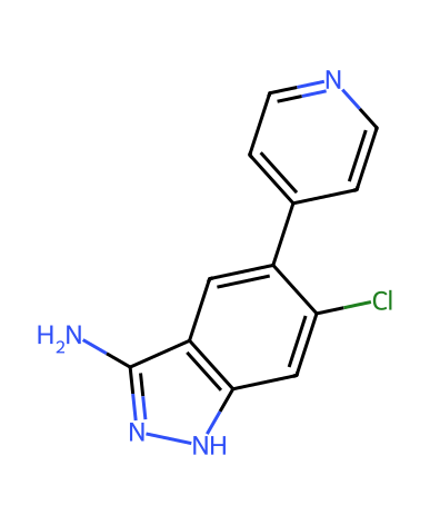 Nc1n[nH]c2cc(Cl)c(-c3ccncc3)cc12